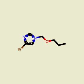 CCCOCn1cnc(Br)c1